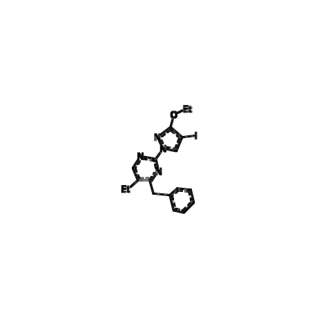 CCOc1nn(-c2ncc(CC)c(Cc3ccccc3)n2)cc1I